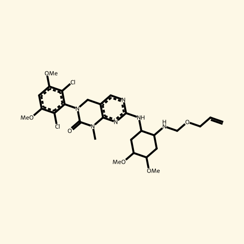 C=CCOCNC1CC(OC)C(OC)CC1Nc1ncc2c(n1)N(C)C(=O)N(c1c(Cl)c(OC)cc(OC)c1Cl)C2